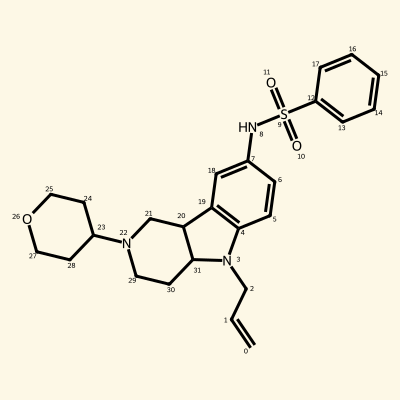 C=CCN1c2ccc(NS(=O)(=O)c3ccccc3)cc2C2CN(C3CCOCC3)CCC21